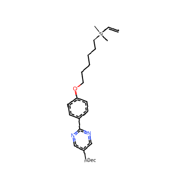 C=C[Si](C)(C)CCCCCCOc1ccc(-c2ncc(CCCCCCCCCC)cn2)cc1